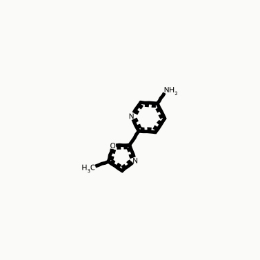 Cc1cnc(-c2ccc(N)cn2)o1